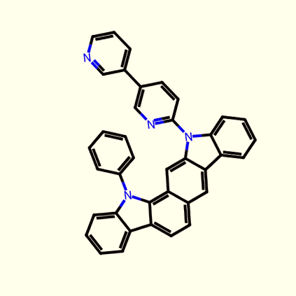 c1ccc(-n2c3ccccc3c3ccc4cc5c6ccccc6n(-c6ccc(-c7cccnc7)cn6)c5cc4c32)cc1